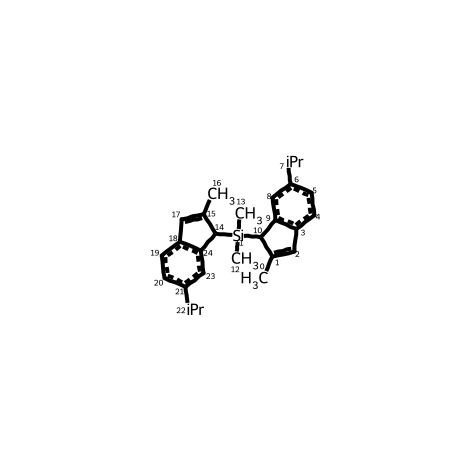 CC1=Cc2ccc(C(C)C)cc2C1[Si](C)(C)C1C(C)=Cc2ccc(C(C)C)cc21